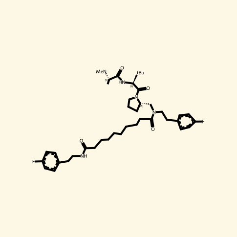 CN[C@@H](C)C(=O)N[C@H](C(=O)N1CCC[C@H]1CN(CCc1ccc(F)cc1)C(=O)CCCCCCCCC(=O)NCCc1ccc(F)cc1)C(C)(C)C